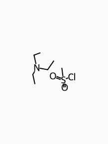 CCN(CC)CC.CS(=O)(=O)Cl